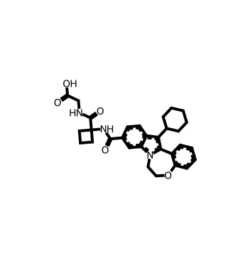 O=C(O)CNC(=O)C1(NC(=O)c2ccc3c(C4CCCCC4)c4n(c3c2)CCOc2ccccc2-4)CCC1